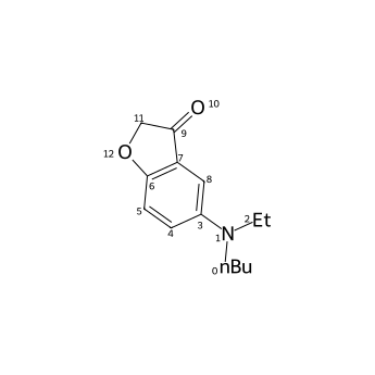 CCCCN(CC)c1ccc2c(c1)C(=O)CO2